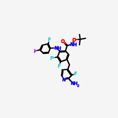 CC(C)(C)ONC(=O)c1cc(Cc2ccnc(N)c2F)c(F)c(F)c1Nc1ccc(I)cc1F